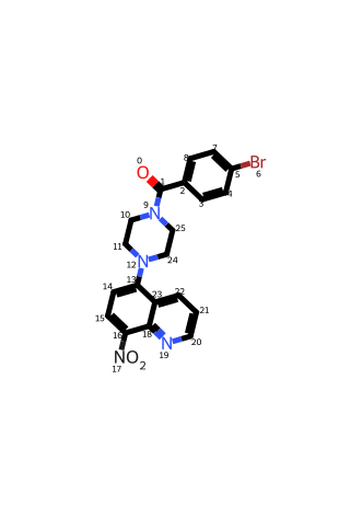 O=C(c1ccc(Br)cc1)N1CCN(c2ccc([N+](=O)[O-])c3ncccc23)CC1